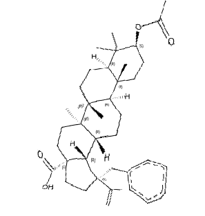 C=C(C)[C@@]1(Cc2ccccc2)CC[C@@]2(C(=O)O)CC[C@]3(C)[C@H](CC[C@@H]4[C@@]5(C)CC[C@H](OC(C)=O)C(C)(C)[C@@H]5CC[C@]43C)[C@H]12